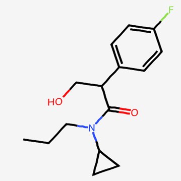 CCCN(C(=O)C(CO)c1ccc(F)cc1)C1CC1